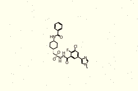 Cn1cnc(-c2cc(Cl)c(F)c(C(=O)NNS(=O)(=O)C[C@H]3CC[C@H](NC(=O)c4ccccc4)CC3)c2)c1